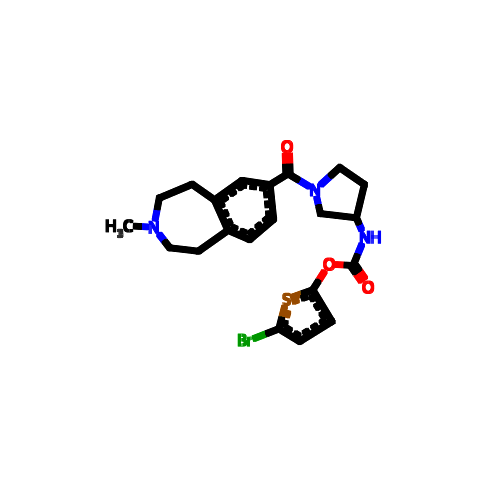 CN1CCc2ccc(C(=O)N3CCC(NC(=O)Oc4ccc(Br)s4)C3)cc2CC1